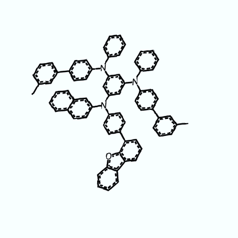 Cc1cccc(-c2ccc(N(c3ccccc3)c3cc(N(c4ccccc4)c4ccc(-c5cccc(C)c5)cc4)cc(N(c4ccc(-c5cccc6c5oc5ccccc56)cc4)c4ccc5ccccc5c4)c3)cc2)c1